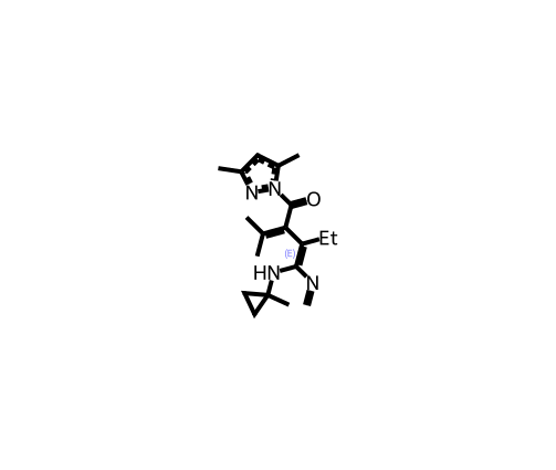 C=N/C(NC1(C)CC1)=C(\CC)C(C(=O)n1nc(C)cc1C)=C(C)C